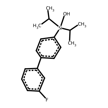 CC(C)[Si](O)(c1ccc(-c2cccc(F)c2)cc1)C(C)C